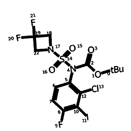 CC(C)(C)OC(=O)N(c1ccc(F)c(I)c1Cl)S(=O)(=O)N1CC(F)(F)C1